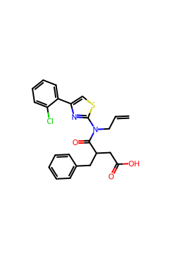 C=CCN(C(=O)C(CC(=O)O)Cc1ccccc1)c1nc(-c2ccccc2Cl)cs1